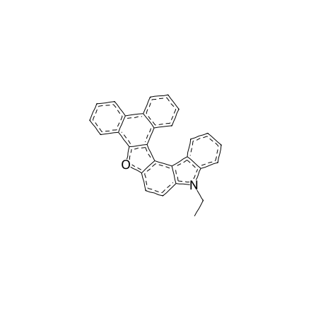 CCn1c2ccccc2c2c3c(ccc21)oc1c2ccccc2c2ccccc2c13